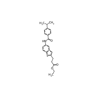 CCOC(=O)CCc1cc2cc(NC(=O)c3ccc(C(C)C)cc3)ccc2s1